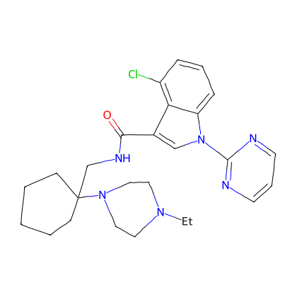 CCN1CCN(C2(CNC(=O)c3cn(-c4ncccn4)c4cccc(Cl)c34)CCCCC2)CC1